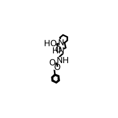 O=C(NCCNCC1CCCCN1C(=O)O)OCc1ccccc1